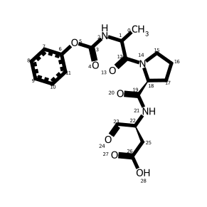 CC(NC(=O)Oc1ccccc1)C(=O)N1CCC[C@H]1C(=O)N[C@H](C=O)CC(=O)O